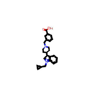 O=C(O)c1cccc(CN2CCC(c3cn(CC4CC4)c4ccccc34)CC2)c1